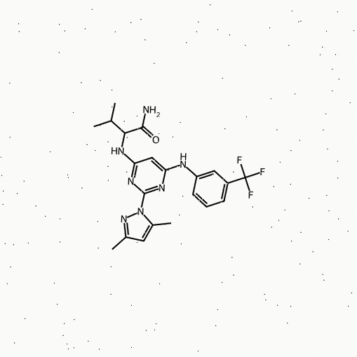 Cc1cc(C)n(-c2nc(Nc3cccc(C(F)(F)F)c3)cc(NC(C(N)=O)C(C)C)n2)n1